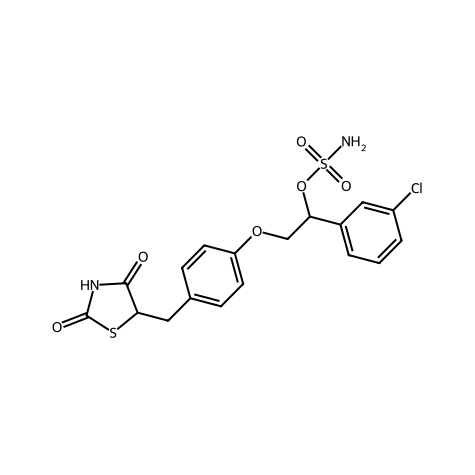 NS(=O)(=O)OC(COc1ccc(CC2SC(=O)NC2=O)cc1)c1cccc(Cl)c1